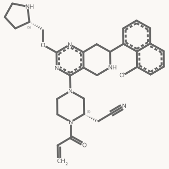 C=CC(=O)N1CCN(c2nc(OC[C@@H]3CCCN3)nc3c2CNC(c2cccc4cccc(Cl)c24)C3)C[C@@H]1CC#N